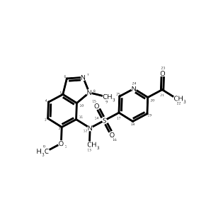 COc1ccc2cnn(C)c2c1N(C)S(=O)(=O)c1ccc(C(C)=O)nc1